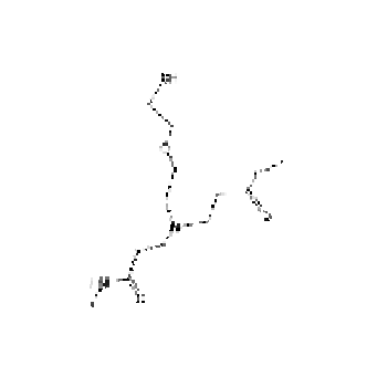 CNC(=O)CCN(CCOCCO)CCC(=O)OC